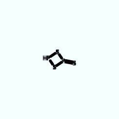 S=[P]1SPS1